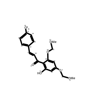 COCOc1cc(O)c(C(=O)C=Cc2ccc(C(F)(F)F)cc2)c(OCOC)c1